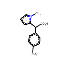 Cn1cccc1C(C(=O)O)c1ccc([N+](=O)[O-])cc1